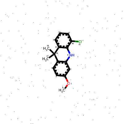 COc1ccc2c(c1)Nc1c(Cl)cccc1C2(C)C